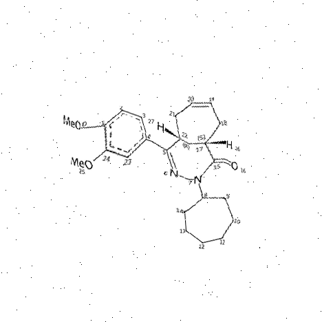 COc1ccc(C2=NN(C3CCCCCC3)C(=O)[C@H]3CC=CC[C@@H]23)cc1OC